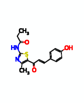 CCC(=O)Nc1nc(C)c(C(=O)C=Cc2ccc(O)cc2)s1